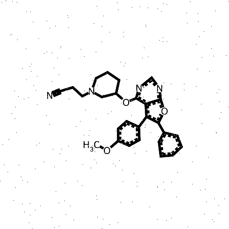 COc1ccc(-c2c(-c3ccccc3)oc3ncnc(OC4CCCN(CCC#N)C4)c23)cc1